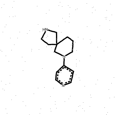 c1cc(N2CCCC3(CCNC3)C2)ccn1